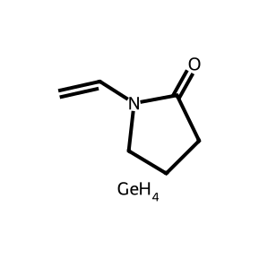 C=CN1CCCC1=O.[GeH4]